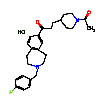 CC(=O)N1CCC(CCC(=O)c2ccc3c(c2)CCN(Cc2ccc(F)cc2)CC3)CC1.Cl